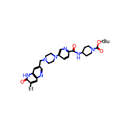 CCc1cc2ncc(CN3CCN(c4ccc(C(=O)NC5CCN(C(=O)OC(C)(C)C)CC5)nc4)CC3)cc2[nH]c1=O